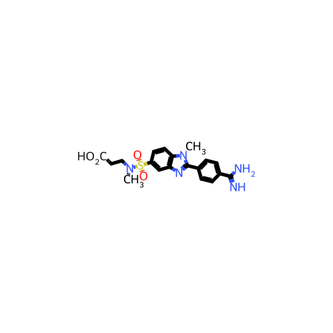 CN(CCC(=O)O)S(=O)(=O)c1ccc2c(c1)nc(-c1ccc(C(=N)N)cc1)n2C